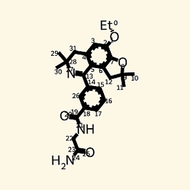 CCOc1cc2c(c3c1OC(C)(C)C3)C(c1cccc(C(=O)NCC(N)=O)c1)=NC(C)(C)C2